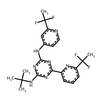 CC(C)(C)Nc1nc(Nc2ccnc(C(C)(F)F)c2)nc(-c2cccc(C(C)(F)F)n2)n1